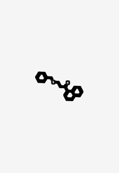 O=C(CCOCc1ccccc1)c1cccc2ccccc12